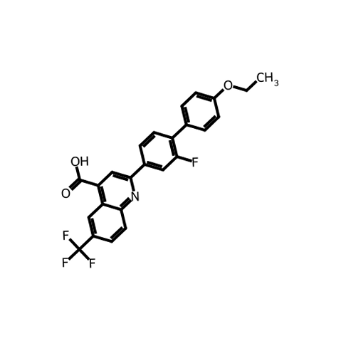 CCOc1ccc(-c2ccc(-c3cc(C(=O)O)c4cc(C(F)(F)F)ccc4n3)cc2F)cc1